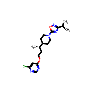 CC(C)c1noc(N2CCC([C@H](C)CCOc3cc(Cl)ncn3)CC2)n1